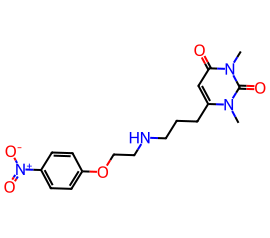 Cn1c(CCCNCCOc2ccc([N+](=O)[O-])cc2)cc(=O)n(C)c1=O